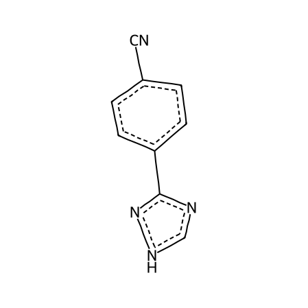 N#Cc1ccc(-c2nc[nH]n2)cc1